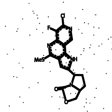 CSc1nc2c(F)c(Cl)ncc2c2[nH]c(C3CCC4COC(=O)N43)cc12